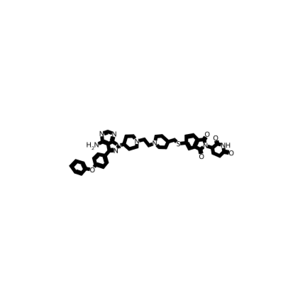 Nc1ncnc2c1c(-c1ccc(Oc3ccccc3)cc1)nn2C1CCN(CCN2CCC(CSc3ccc4c(c3)C(=O)N(C3CCC(=O)NC3=O)C4=O)CC2)CC1